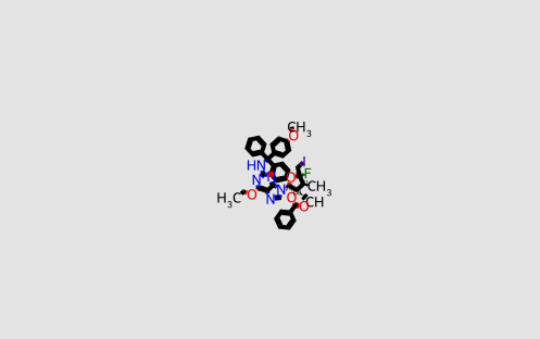 C#C[C@]1(OC(=O)c2ccccc2)[C@H](n2cnc3c(OCC)nc(NC(c4ccccc4)(c4ccccc4)c4ccc(OC)cc4)nc32)O[C@](F)(CI)[C@H]1C